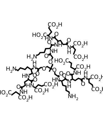 CC(COCC(=O)NC(CCCCN)C(=O)NC(CCC(=O)NC(CCC(=O)O)C(=O)O)C(=O)NC(CCC(=O)O)C(=O)O)(COCC(=O)NC(CCCCN)C(=O)NC(CCC(=O)NC(CCC(=O)O)C(=O)O)C(=O)NC(CCC(=O)O)C(=O)O)OCC(=O)NC(CCCCN)C(=O)NC(CCC(=O)NC(CCC(=O)O)C(=O)O)C(=O)NC(CCC(=O)O)C(=O)O